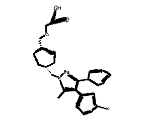 Cc1c(-c2cccc(F)c2)c(-c2ccccc2)nn1C[C@H]1CC[C@@H](COCC(=O)O)CC1